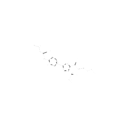 CCCCNC(=O)c1sc(-c2ccc(NC(=O)NCC)nc2)nc1C(=O)NC